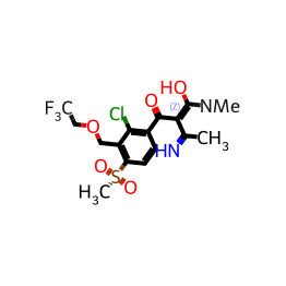 CN/C(O)=C(\C(C)=N)C(=O)c1ccc(S(C)(=O)=O)c(COCC(F)(F)F)c1Cl